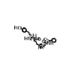 N=C(NCCCc1cn(CC(=O)N[C@@H](CC(=O)O)c2ccccc2)nn1)NCCc1ccc(O)cc1